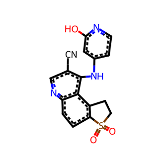 N#Cc1cnc2ccc3c(c2c1Nc1ccnc(O)c1)CCS3(=O)=O